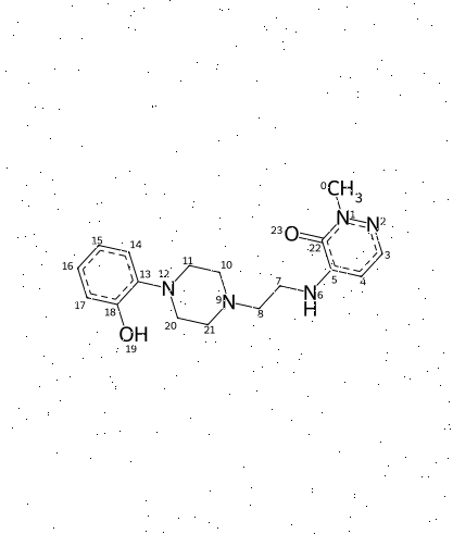 Cn1nccc(NCCN2CCN(c3ccccc3O)CC2)c1=O